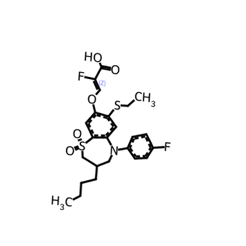 CCCCC1CN(c2ccc(F)cc2)c2cc(SCC)c(O/C=C(\F)C(=O)O)cc2S(=O)(=O)C1